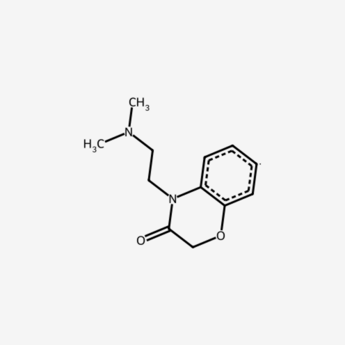 CN(C)CCN1C(=O)COc2c[c]ccc21